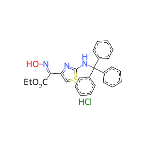 CCOC(=O)C(=NO)c1csc(NC(c2ccccc2)(c2ccccc2)c2ccccc2)n1.Cl